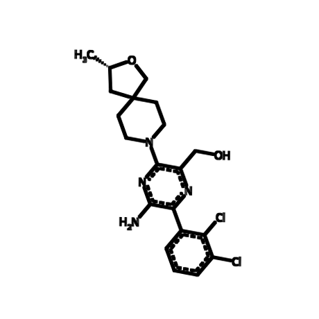 C[C@H]1CC2(CCN(c3nc(N)c(-c4cccc(Cl)c4Cl)nc3CO)CC2)CO1